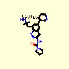 CCc1ccncc1-c1cc(CC(C)(C)NC(=O)O)c2nnc(NC(=O)N3CCCC3)cc2c1